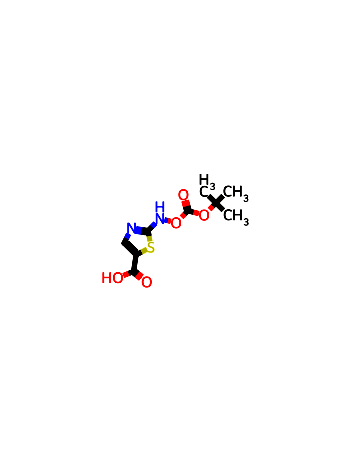 CC(C)(C)OC(=O)ONc1ncc(C(=O)O)s1